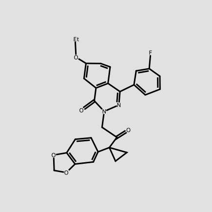 CCOc1ccc2c(-c3cccc(F)c3)nn(CC(=O)C3(c4ccc5c(c4)OCO5)CC3)c(=O)c2c1